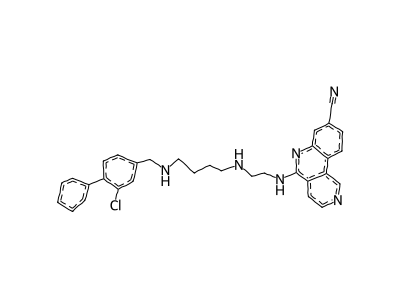 N#Cc1ccc2c(c1)nc(NCCNCCCCNCc1ccc(-c3ccccc3)c(Cl)c1)c1ccncc12